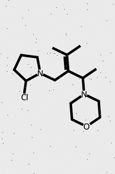 CC(C)=C(CN1CCCC1Cl)C(C)N1CCOCC1